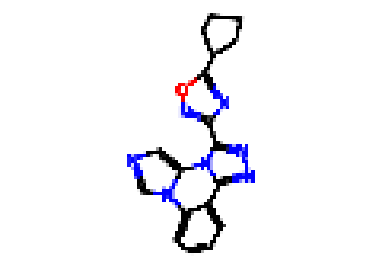 c1ccc2c(c1)c1nnc(-c3noc(C4CCCC4)n3)n1c1cncn21